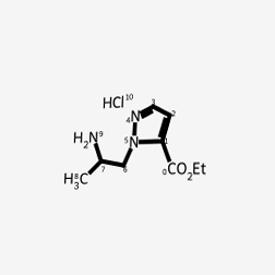 CCOC(=O)c1ccnn1CC(C)N.Cl